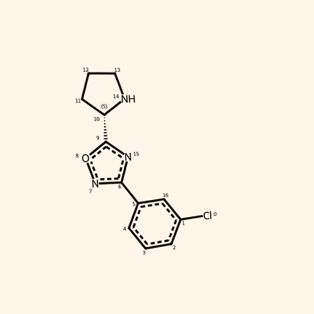 Clc1cccc(-c2noc([C@@H]3CCCN3)n2)c1